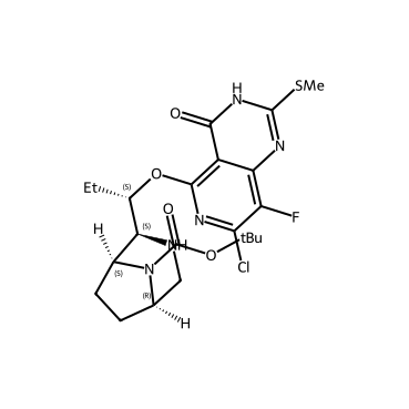 CC[C@H](Oc1nc(Cl)c(F)c2nc(SC)[nH]c(=O)c12)[C@H]1NC[C@H]2CC[C@@H]1N2C(=O)OC(C)(C)C